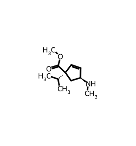 CN[C@@H]1C=C[C@@](C(=O)OC)(C(C)C)C1